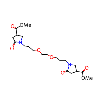 COC(=O)C1CC(=O)N(CCCOCCOCCCN2CC(C(=O)OC)CC2=O)C1